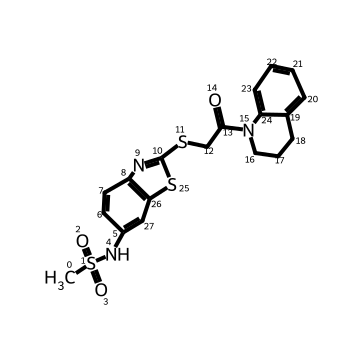 CS(=O)(=O)Nc1ccc2nc(SCC(=O)N3CCCc4ccccc43)sc2c1